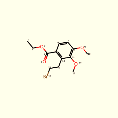 CCOC(=O)c1ccc(OC)c(OC)c1CCBr